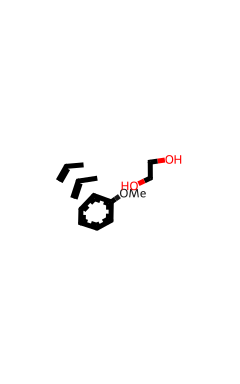 C=CC.C=CC.COc1ccccc1.OCCO